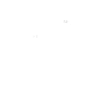 CCCC=C1CCC(N)CC1.Cl